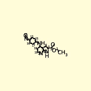 CCOC(=O)c1cc2c(Nc3ccc(N=O)cc3)ccnc2[nH]1